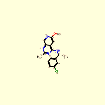 CCOc1cc2c(N[C@H](C)c3cccc(Cl)c3)nc(C)nc2cn1